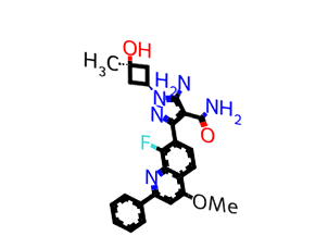 COc1cc(-c2ccccc2)nc2c(F)c(-c3nn([C@H]4C[C@](C)(O)C4)c(N)c3C(N)=O)ccc12